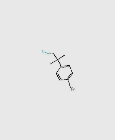 CC(C)c1ccc(C(C)(C)CF)cc1